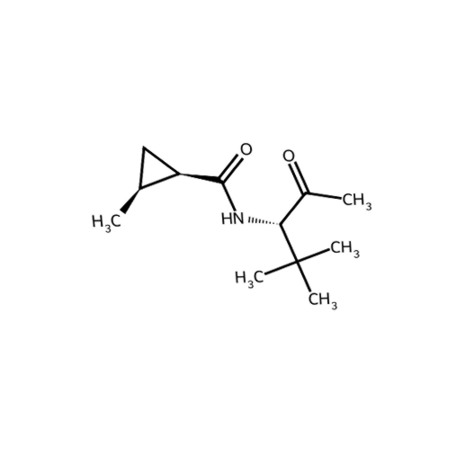 CC(=O)[C@@H](NC(=O)[C@@H]1C[C@@H]1C)C(C)(C)C